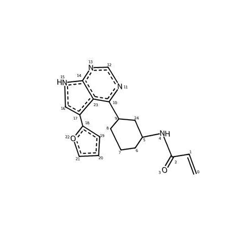 C=CC(=O)NC1CCCC(c2ncnc3[nH]cc(-c4ccco4)c23)C1